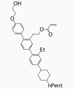 C=CC(=O)OCCc1cc(-c2ccc(C3CCC(CCCCC)CC3)cc2CC)ccc1-c1ccc(OCCO)cc1